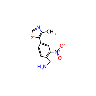 Cc1ncsc1-c1ccc(CN)c([N+](=O)[O-])c1